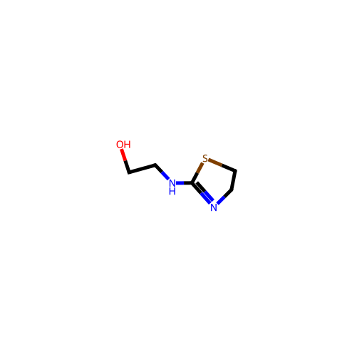 OCCNC1=NCCS1